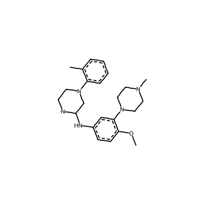 COc1ccc(NC2CN(c3ccccc3C)CC[N]2)cc1N1CCN(C)CC1